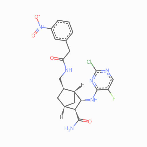 NC(=O)[C@H]1[C@@H]2C[C@@H](CNC(=O)Cc3cccc([N+](=O)[O-])c3)[C@@H](C2)[C@H]1Nc1nc(Cl)ncc1F